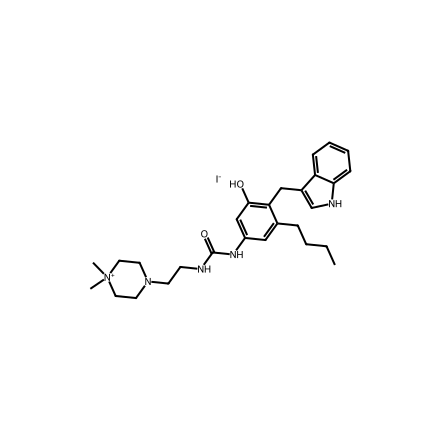 CCCCc1cc(NC(=O)NCCN2CC[N+](C)(C)CC2)cc(O)c1Cc1c[nH]c2ccccc12.[I-]